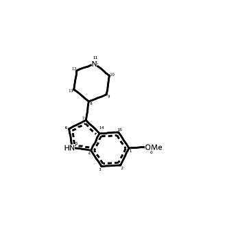 COc1ccc2[nH]cc(C3CC[N]CC3)c2c1